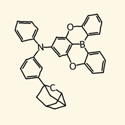 c1ccc(N(c2cccc(C34CC5CC(C3)C(C5)C4)c2)c2cc3c4c(c2)Oc2ccccc2B4c2ccccc2O3)cc1